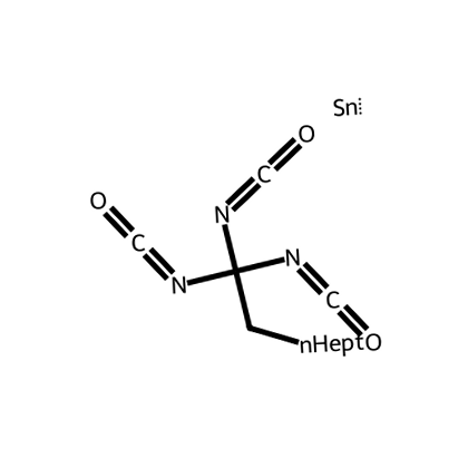 CCCCCCCCC(N=C=O)(N=C=O)N=C=O.[Sn]